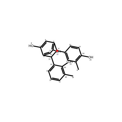 Cc1cc(C2c3cc(O)c(cc3O)C2c2cccc(C)c2O)ccc1O